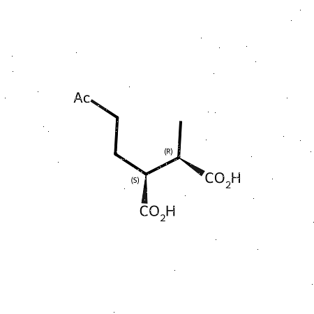 CC(=O)CC[C@H](C(=O)O)[C@@H](C)C(=O)O